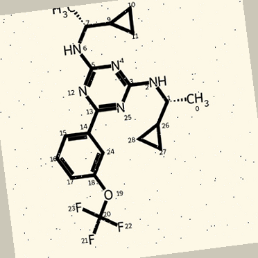 C[C@@H](Nc1nc(N[C@H](C)C2CC2)nc(-c2cccc(OC(F)(F)F)c2)n1)C1CC1